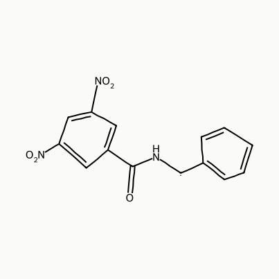 O=C(N[CH]c1ccccc1)c1cc([N+](=O)[O-])cc([N+](=O)[O-])c1